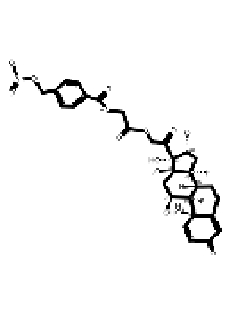 C[C@]12C=CC(=O)C=C1CC[C@H]1[C@@H]3C[C@@H](O)[C@](O)(C(=O)COC(=O)CNC(=O)c4ccc(CO[N+](=O)[O-])cc4)[C@@]3(C)C[C@H](O)[C@@]12F